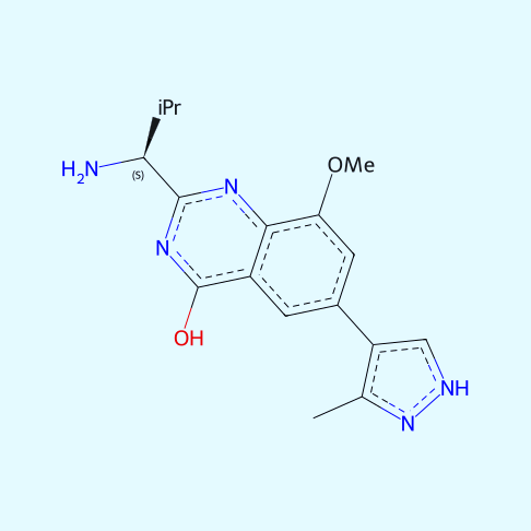 COc1cc(-c2c[nH]nc2C)cc2c(O)nc([C@@H](N)C(C)C)nc12